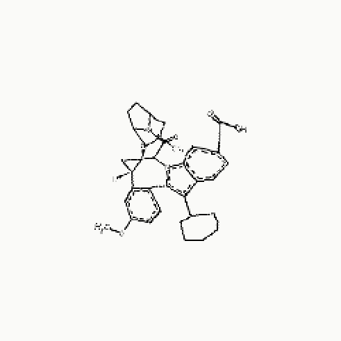 COc1ccc2c(c1)[C@@H]1C[C@@H]1C(C(=O)N1C3CCC1CN(C)C3)n1c-2c(C2CCCCC2)c2ccc(C(=O)O)cc21